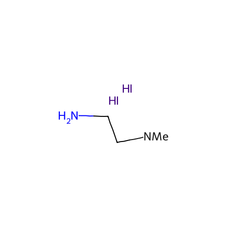 CNCCN.I.I